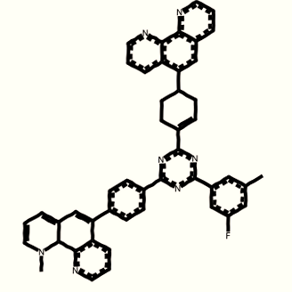 Cc1cc(F)cc(-c2nc(C3=CCC(c4cc5cccnc5c5ncccc45)CC3)nc(-c3ccc(C4=CC5=CC=CN(C)C5c5ncccc54)cc3)n2)c1